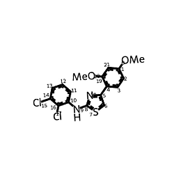 COc1ccc(-c2csc(Nc3cccc(Cl)c3Cl)n2)c(OC)c1